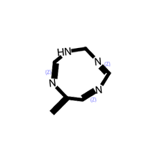 C=C1/C=N\C=N/CN/C=N\1